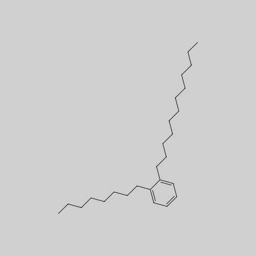 CCCCCCCCCCCCc1ccccc1CCCCCCCC